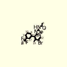 CC(=O)Nc1nc2c(-c3cccc(C(F)(F)F)c3)c(C)c(Br)cn2n1